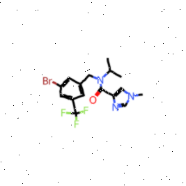 CC(C)N(Cc1cc(Br)cc(C(F)(F)F)c1)C(=O)c1cn(C)cn1